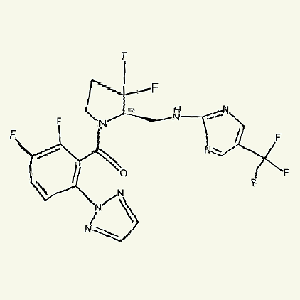 O=C(c1c(-n2nccn2)ccc(F)c1F)N1CCC(F)(F)[C@H]1CNc1ncc(C(F)(F)F)cn1